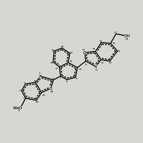 COc1ccc2nc(-c3ccc(-c4nc5ccc(CO)cc5o4)c4ccccc34)oc2c1